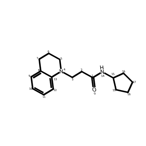 O=C(CCN1CCCc2ccccc21)NC1CCCC1